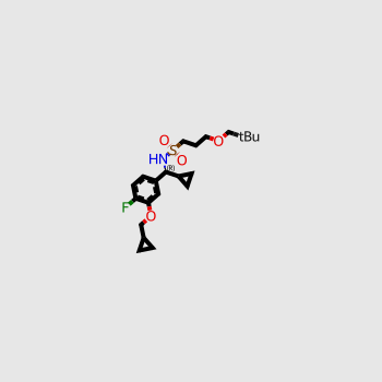 CC(C)(C)COCCCS(=O)(=O)N[C@@H](c1ccc(F)c(OCC2CC2)c1)C1CC1